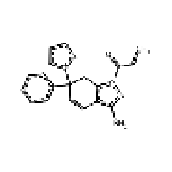 C=CC(=O)n1nc(N)c2c1CC(c1ccccc1)(c1cccs1)C=C2